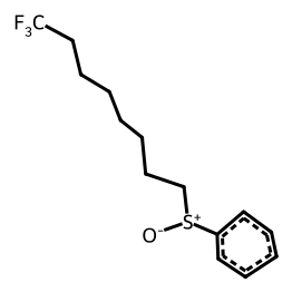 [O-][S+](CCCCCCCC(F)(F)F)c1ccccc1